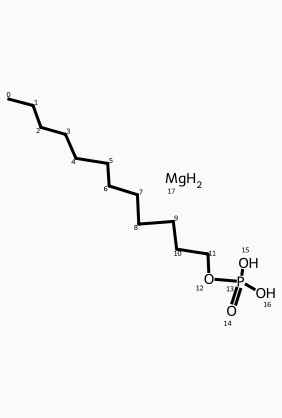 CCCCCCCCCCCCOP(=O)(O)O.[MgH2]